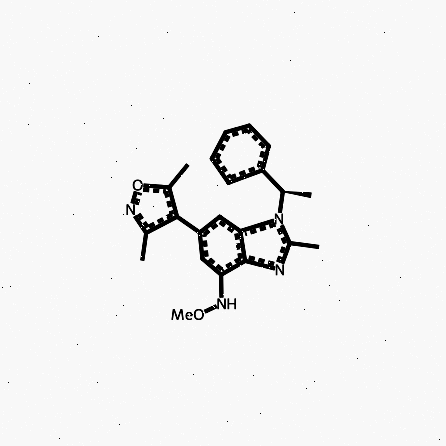 CONc1cc(-c2c(C)noc2C)cc2c1nc(C)n2[C@H](C)c1ccccc1